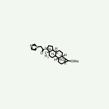 COC1C2[C@H]3CC[C@@H]4[C@H](CC[C@]5(C)[C@@H](C(=O)Cn6ccnc6)CC[C@@H]45)[C@H]3CC[C@]12O